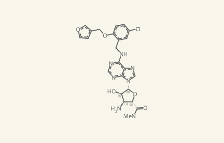 CNC(=O)[C@H]1O[C@@H](n2cnc3c(NCc4cc(Cl)ccc4OCc4ccoc4)ncnc32)[C@H](O)[C@@H]1N